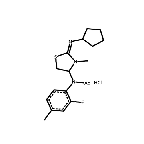 CC(=O)N(c1ccc(C)cc1F)C1CSC(=NC2CCCC2)N1C.Cl